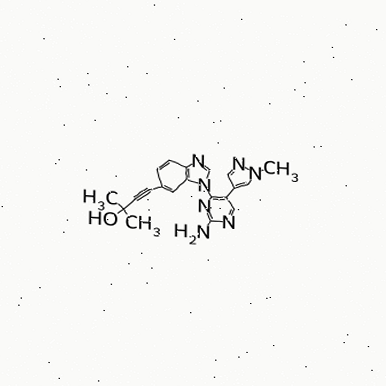 Cn1cc(-c2cnc(N)nc2-n2cnc3ccc(C#CC(C)(C)O)cc32)cn1